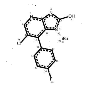 [CH2][C@@H](CC)n1c(O)nc2ncc(Cl)c(-c3ccc(F)cc3)c21